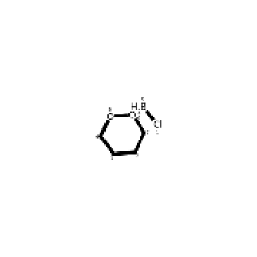 BCl.C1CCOOC1